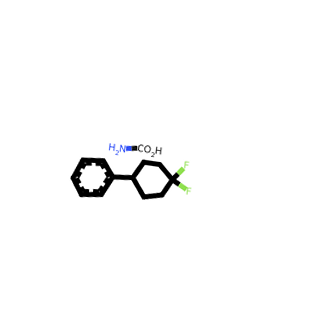 FC1(F)CCC(c2ccccc2)CC1.NC(=O)O